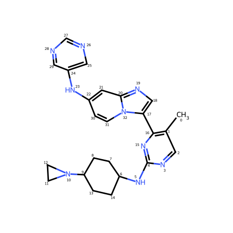 Cc1cnc(NC2CCC(N3CC3)CC2)nc1-c1cnc2cc(Nc3cncnc3)ccn12